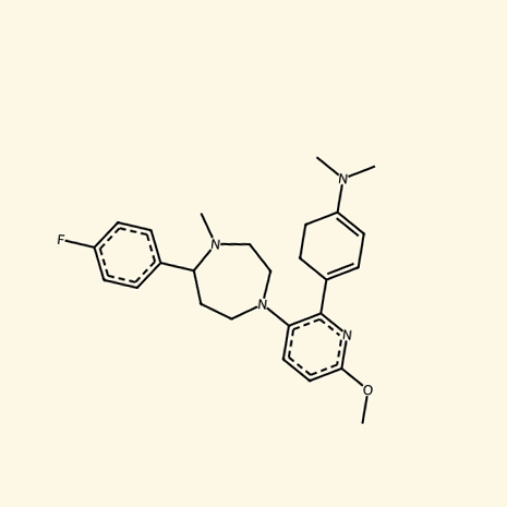 COc1ccc(N2CCC(c3ccc(F)cc3)N(C)CC2)c(C2=CC=C(N(C)C)CC2)n1